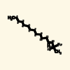 CCCCCCCCCCCCNCC(C)(F)F